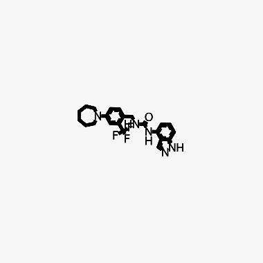 O=C(NCc1ccc(N2CCCCCC2)cc1C(F)(F)F)Nc1cccc2[nH]ncc12